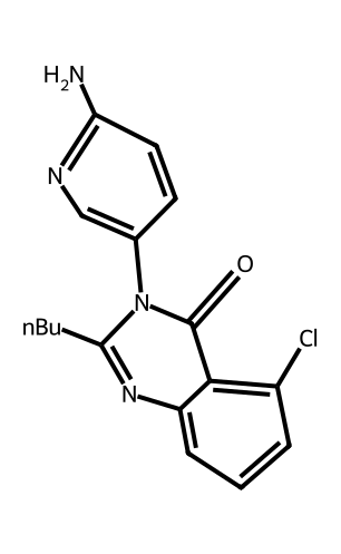 CCCCc1nc2cccc(Cl)c2c(=O)n1-c1ccc(N)nc1